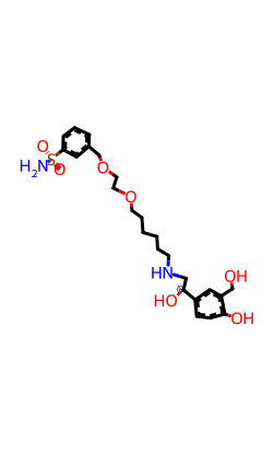 NS(=O)(=O)c1cccc(COCCOCCCCCCNC[C@H](O)c2ccc(O)c(CO)c2)c1